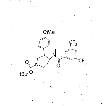 COc1ccc(C2CN(C(=O)OC(C)(C)C)CCC2NC(=O)c2cc(C(F)(F)F)cc(C(F)(F)F)c2)cc1